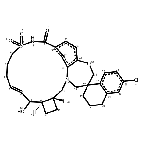 O=C1NS(=O)(=O)CCC/C=C/C(O)[C@@H]2CC[C@H]2CN2C[C@@]3(CCCc4cc(Cl)ccc43)COc3ccc1cc32